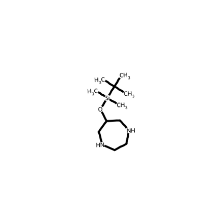 CC(C)(C)[Si](C)(C)OC1CNCCNC1